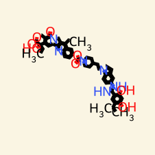 CCc1c2c(nc3ccc(OC(=O)N4CCC(CCn5ccc6cc(NC(=N)c7cc(C(C)C)c(O)cc7O)ccc65)CC4)cc13)-c1cc3c(c(=O)n1C2)COC(=O)C3(O)CC